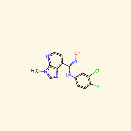 Cn1cnc2c(/C(=N\O)Nc3ccc(F)c(Cl)c3)ccnc21